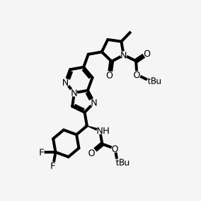 CC1CC(Cc2cnn3cc([C@@H](NC(=O)OC(C)(C)C)C4CCC(F)(F)CC4)nc3c2)C(=O)N1C(=O)OC(C)(C)C